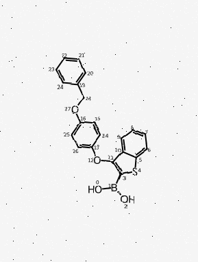 OB(O)c1sc2ccccc2c1Oc1ccc(OCc2ccccc2)cc1